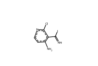 N=C(I)c1c(N)ccnc1Cl